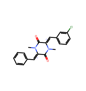 Cn1c(=O)/c(=C/c2cccc(Cl)c2)n(C)c(=O)/c1=C/c1ccccc1